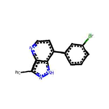 N#Cc1n[nH]c2c(-c3cccc(Br)c3)ccnc12